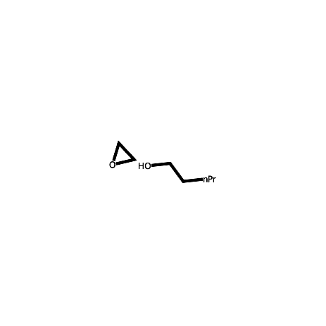 C1CO1.CCCCCO